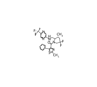 Cc1nc(C(=O)N2CC(F)(F)C[C@@H](C)C2CNc2cnc(C(F)(F)F)cn2)c(-c2ccccc2)s1